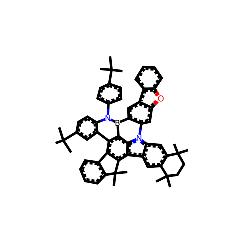 CC(C)(C)c1ccc(N2B3c4cc5c(cc4-n4c6cc7c(cc6c6c8c(c(c3c64)-c3cc(C(C)(C)C)ccc32)-c2ccccc2C8(C)C)C(C)(C)CCC7(C)C)oc2ccccc25)cc1